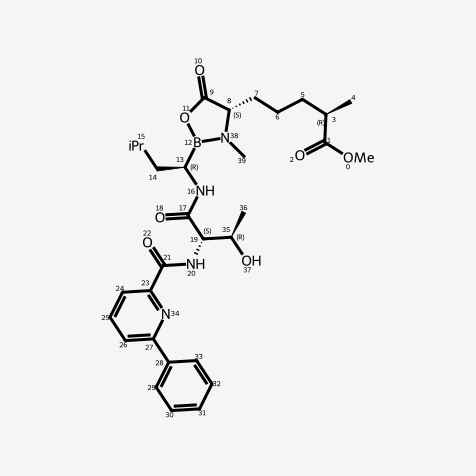 COC(=O)[C@H](C)CCC[C@H]1C(=O)OB([C@H](CC(C)C)NC(=O)[C@@H](NC(=O)c2cccc(-c3ccccc3)n2)[C@@H](C)O)N1C